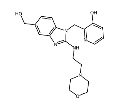 OCc1ccc2c(c1)nc(NCCN1CCOCC1)n2Cc1ncccc1O